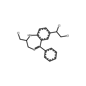 ClCC1CN=C(c2ccccc2)c2cc(C(Cl)CCl)ccc2N1